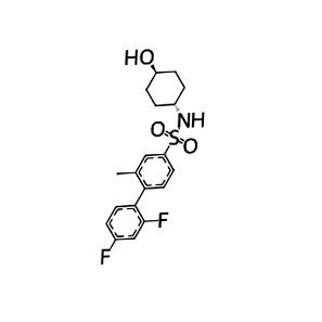 Cc1cc(S(=O)(=O)N[C@H]2CC[C@H](O)CC2)ccc1-c1ccc(F)cc1F